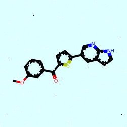 COc1cccc(C(=O)c2ccc(-c3cnc4[nH]ccc4c3)s2)c1